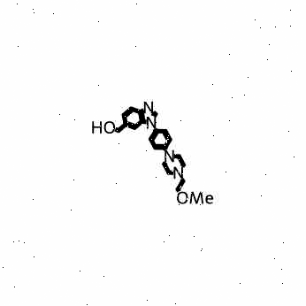 COCCN1CCN(c2ccc(-n3cnc4ccc(CO)cc43)cc2)CC1